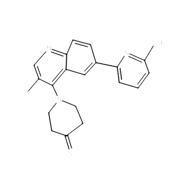 Cc1cccc(-c2ccc3ncc(Cl)c(N4CCC(=O)CC4)c3c2)n1